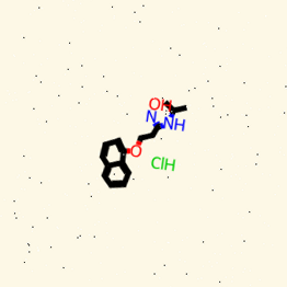 CC(C)NC(CCOc1cccc2ccccc12)=NO.Cl